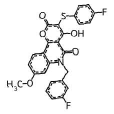 COc1ccc2c3oc(=O)c(Sc4ccc(F)cc4)c(O)c3c(=O)n(Cc3cccc(F)c3)c2c1